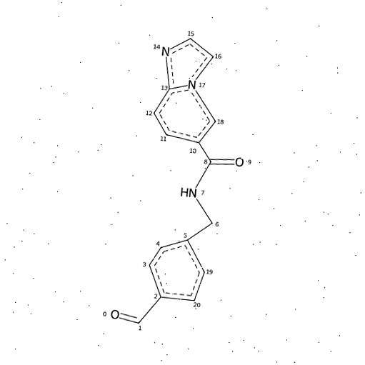 O=Cc1ccc(CNC(=O)c2ccc3nccn3c2)cc1